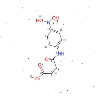 COC(=O)/C=C\C(=O)Nc1ccc(N(O)O)cc1